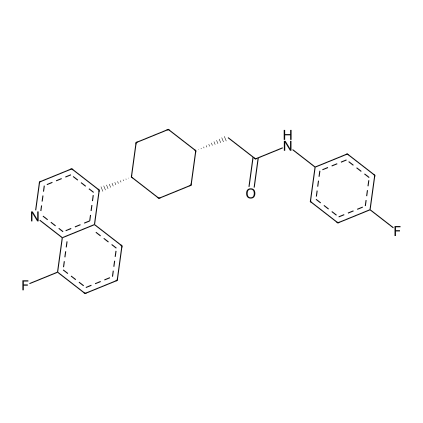 O=C(C[C@H]1CC[C@@H](c2ccnc3c(F)cccc32)CC1)Nc1ccc(F)cc1